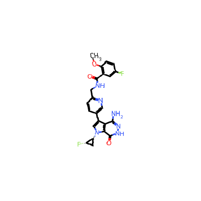 COc1ccc(F)cc1C(=O)NCc1ccc(-c2cn([C@@H]3C[C@@H]3F)c3c(=O)[nH]nc(N)c23)cn1